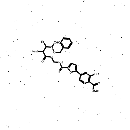 CCCCCC(C(=O)NCNC(=O)c1ccc(-c2ccc(C(=O)OC)c(O)c2)o1)C(CC)N(C=O)OCc1ccccc1